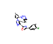 Cc1ccc2c(c1)-n1nncc1Cc1c(-c3nc(-c4ccc(F)c(C)c4)co3)ncn1-2